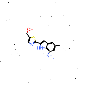 Cc1cc(N)c2[nH]c(-c3ncc(CO)s3)cc2c1